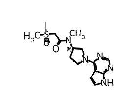 CN(C(=O)C[SH](C)(=O)I)[C@@H]1CCN(c2ncnc3[nH]ccc23)C1